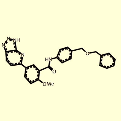 COc1ccc(-c2ccc3nn[nH]c3n2)cc1C(=O)Nc1ccc(COCc2ccccc2)cc1